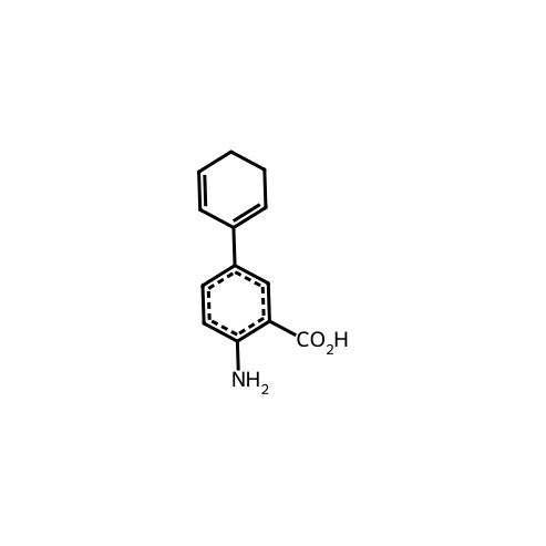 Nc1ccc(C2=CCCC=C2)cc1C(=O)O